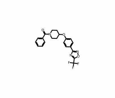 O=C(c1ccccc1)N1CCC(Oc2ccc(-c3noc(C(F)(F)F)n3)cc2)CC1